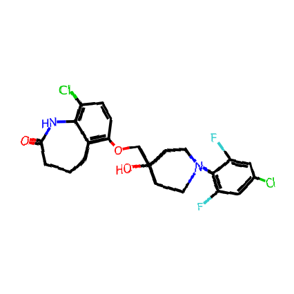 O=C1CCCc2c(OCC3(O)CCN(c4c(F)cc(Cl)cc4F)CC3)ccc(Cl)c2N1